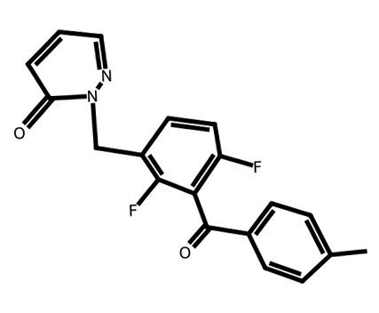 Cc1ccc(C(=O)c2c(F)ccc(Cn3ncccc3=O)c2F)cc1